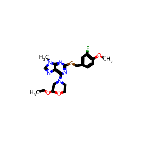 CCOC1CN(c2nc(SCc3ccc(OC)c(F)c3)nc3c2ncn3C)CCO1